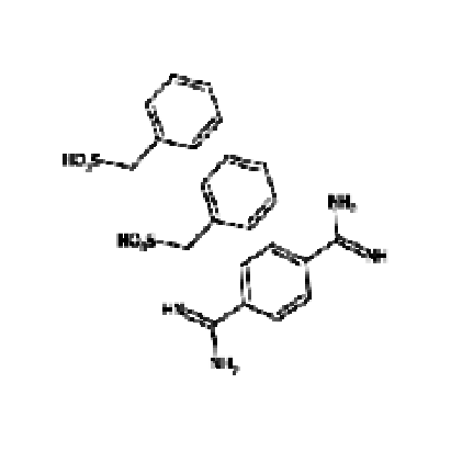 N=C(N)c1ccc(C(=N)N)cc1.O=S(=O)(O)Cc1ccccc1.O=S(=O)(O)Cc1ccccc1